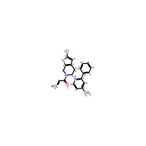 C=CC(=O)N1Cc2sc(Cl)cc2[C@H](c2ccccc2-c2cc(C)ccn2)C1